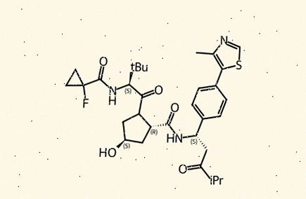 Cc1ncsc1-c1ccc([C@H](CC(=O)C(C)C)NC(=O)[C@@H]2C[C@@H](O)CC2C(=O)[C@@H](NC(=O)C2(F)CC2)C(C)(C)C)cc1